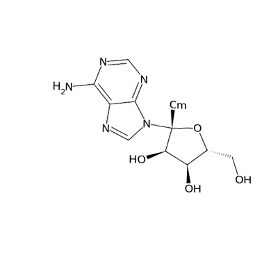 Nc1ncnc2c1ncn2[C@]1([Cm])O[C@H](CO)[C@@H](O)[C@H]1O